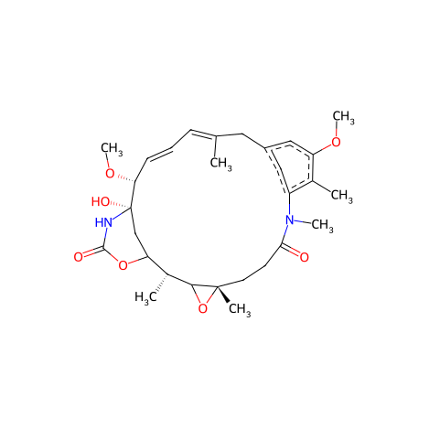 COc1cc2cc(c1C)N(C)C(=O)CC[C@]1(C)OC1[C@H](C)C1C[C@@](O)(NC(=O)O1)[C@H](OC)/C=C/C=C(\C)C2